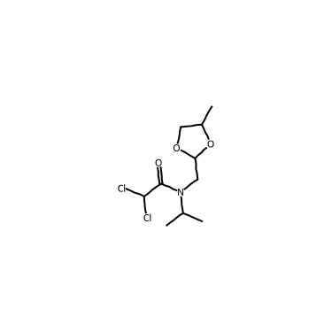 CC1COC(CN(C(=O)C(Cl)Cl)C(C)C)O1